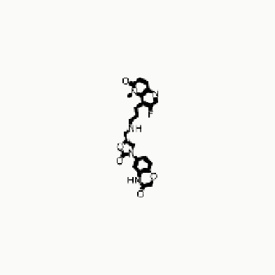 Cn1c(=O)ccc2ncc(F)c(CCCNC[C@H]3CN(c4ccc5c(c4)NC(=O)CO5)C(=O)O3)c21